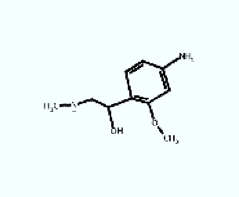 CNCC(O)c1ccc(N)cc1OC